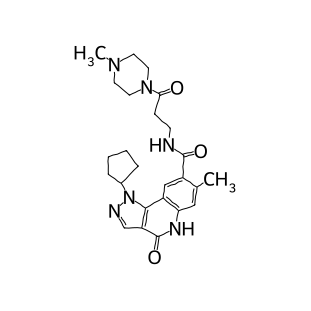 Cc1cc2[nH]c(=O)c3cnn(C4CCCC4)c3c2cc1C(=O)NCCC(=O)N1CCN(C)CC1